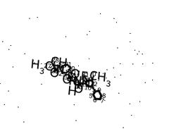 Cc1cc(-c2ccccc2)cc(C(=O)NNS(=O)(=O)C2CCCN(C(=O)C(C)C)C2)c1F